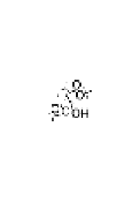 CCC(C)[C@@H](C(=O)OC(C)(C)C)N(CCO)CC(=O)OC(C)(C)C